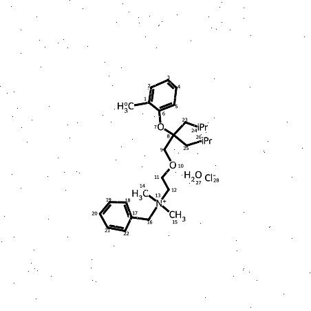 Cc1ccccc1OC(COCC[N+](C)(C)Cc1ccccc1)(CC(C)C)CC(C)C.O.[Cl-]